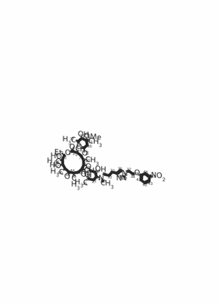 CC[C@H]1OC(=O)[C@H](C)[C@@H](O[C@H]2C[C@@](C)(OC)[C@@H](O)[C@H](C)O2)[C@H](C)[C@@H](O[C@@H]2O[C@H](C)C[C@H](N(C)CCCc3cn(CCOc4cccc([N+](=O)[O-])c4)nn3)[C@H]2O)[C@](C)(O)C[C@@H](C)C(=O)[C@H](C)[C@@H](O)[C@]1(C)O